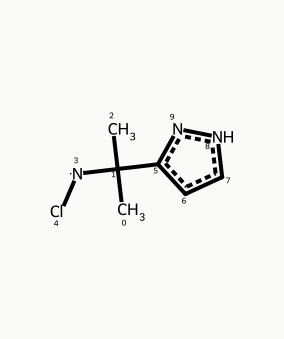 CC(C)([N]Cl)c1cc[nH]n1